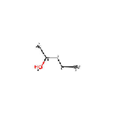 CCC(C)CCC(O)C(C)=O